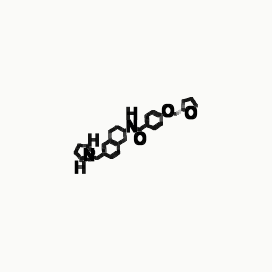 O=C(N[C@H]1CCc2cc(CN3[C@H]4CC[C@@H]3CC4)ccc2C1)c1ccc(OC[C@@H]2CCCO2)cc1